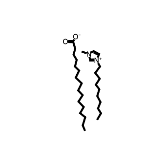 CCCCCCCCCCCCCCCC(=O)[O-].CCCCCCCCCC[n+]1ccn(C)c1